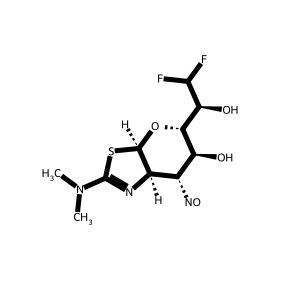 CN(C)C1=N[C@@H]2[C@@H](N=O)[C@H](O)[C@@H]([C@H](O)C(F)F)O[C@@H]2S1